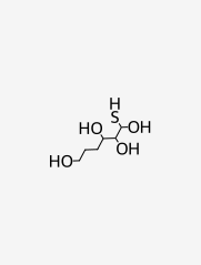 OCCCC(O)C(O)C(O)S